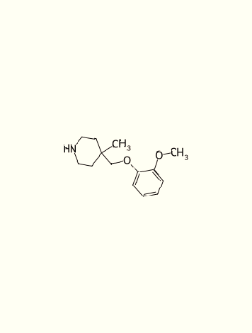 COc1ccccc1OCC1(C)CCNCC1